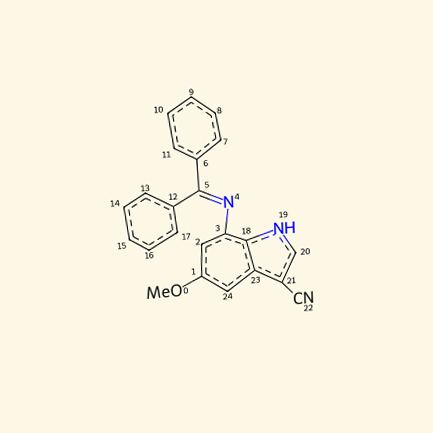 COc1cc(N=C(c2ccccc2)c2ccccc2)c2[nH]cc(C#N)c2c1